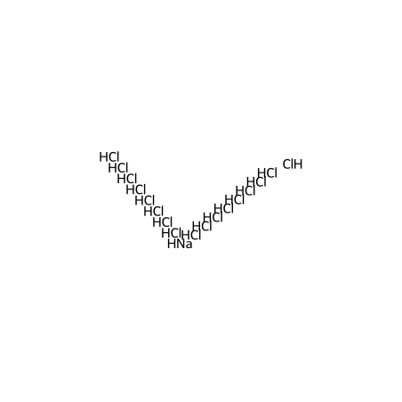 Cl.Cl.Cl.Cl.Cl.Cl.Cl.Cl.Cl.Cl.Cl.Cl.Cl.Cl.Cl.Cl.Cl.[NaH]